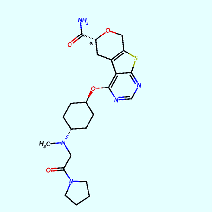 CN(CC(=O)N1CCCC1)[C@H]1CC[C@H](Oc2ncnc3sc4c(c23)C[C@H](C(N)=O)OC4)CC1